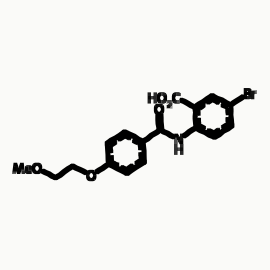 COCCOc1ccc(C(=O)Nc2ccc(Br)cc2C(=O)O)cc1